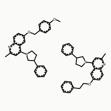 COc1ccc(COc2ccc3nc(C)cc(N4CCC(c5ccccc5)C4)c3c2)cc1.Cc1cc(N2CCC(c3ccccc3)C2)c2cc(OCCc3ccccc3)ccc2n1